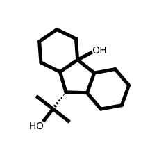 CC(C)(O)[C@H]1C2CCCCC2C2(O)CCCCC12